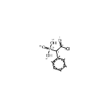 O=C(Cl)C(c1ccccc1)P(=O)(O)O